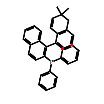 CC1(C)C=Cc2c(cccc2-c2c(P(c3ccccc3)c3ccccc3)ccc3ccccc23)C1